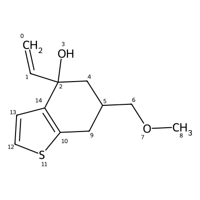 C=CC1(O)CC(COC)Cc2sccc21